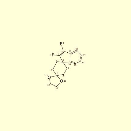 FC1=C(F)C2(CCC3(CC2)OCCO3)c2ccccc21